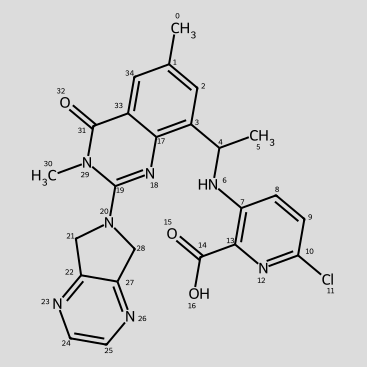 Cc1cc(C(C)Nc2ccc(Cl)nc2C(=O)O)c2nc(N3Cc4nccnc4C3)n(C)c(=O)c2c1